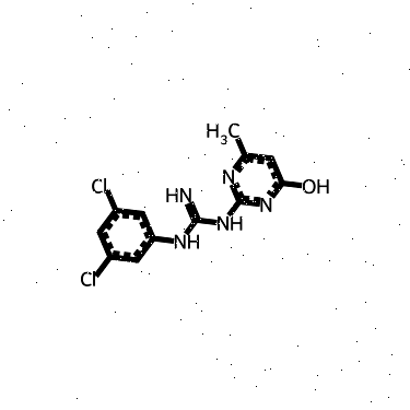 Cc1cc(O)nc(NC(=N)Nc2cc(Cl)cc(Cl)c2)n1